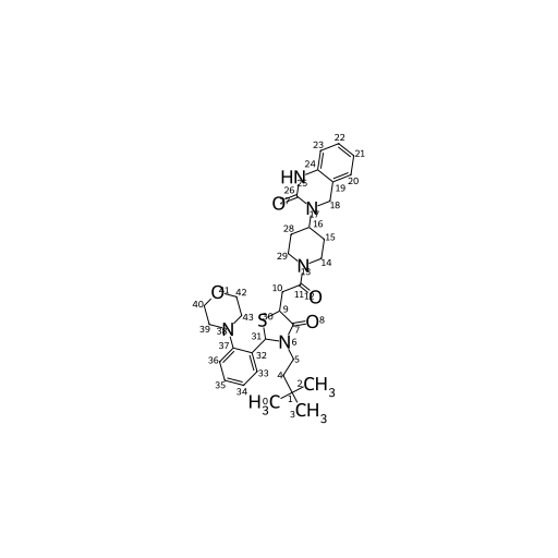 CC(C)(C)CCN1C(=O)C(CC(=O)N2CCC(N3Cc4ccccc4NC3=O)CC2)SC1c1ccccc1N1CCOCC1